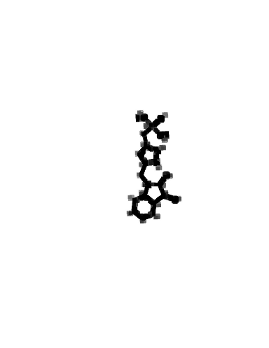 O=C1C(=O)N(Cc2cn(CP(=O)(O)O)nn2)c2ccccc21